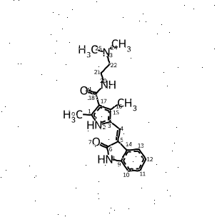 Cc1[nH]c(/C=C2\C(=O)Nc3ccccc32)c(C)c1C(=O)NCCN(C)C